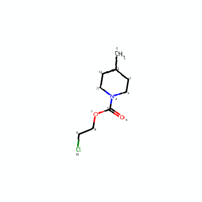 CC1CCN(C(=O)OCCCl)CC1